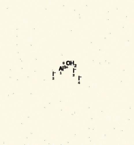 O.[Al+3].[I-].[I-].[I-]